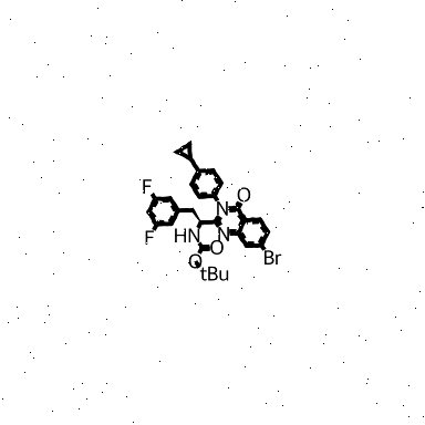 CC(C)(C)OC(=O)N[C@@H](Cc1cc(F)cc(F)c1)c1nc2cc(Br)ccc2c(=O)n1-c1ccc(C2CC2)cc1